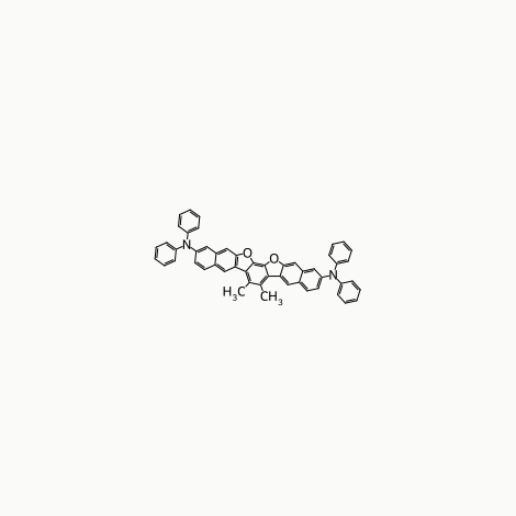 Cc1c(C)c2c3cc4ccc(N(c5ccccc5)c5ccccc5)cc4cc3oc2c2oc3cc4cc(N(c5ccccc5)c5ccccc5)ccc4cc3c12